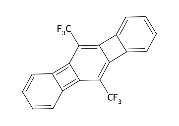 FC(F)(F)c1c2c3ccccc3c2c(C(F)(F)F)c2c3ccccc3c12